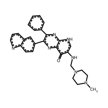 CN1CCN(CNc2c[nH]c3nc(-c4ccccc4)c(-c4ccc5ncccc5c4)nc3c2=O)CC1